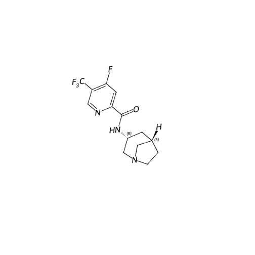 O=C(N[C@@H]1C[C@@H]2CCN(C2)C1)c1cc(F)c(C(F)(F)F)cn1